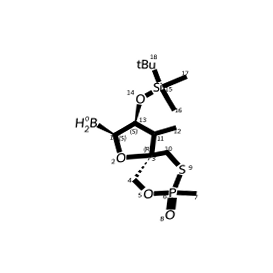 B[C@@H]1O[C@@]2(COP(C)(=O)SC2)C(C)[C@@H]1O[Si](C)(C)C(C)(C)C